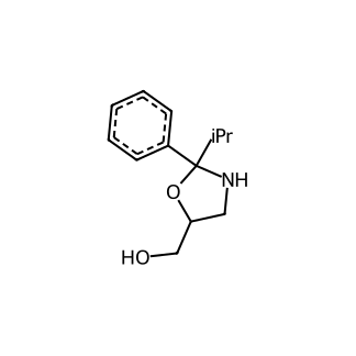 CC(C)C1(c2ccccc2)NCC(CO)O1